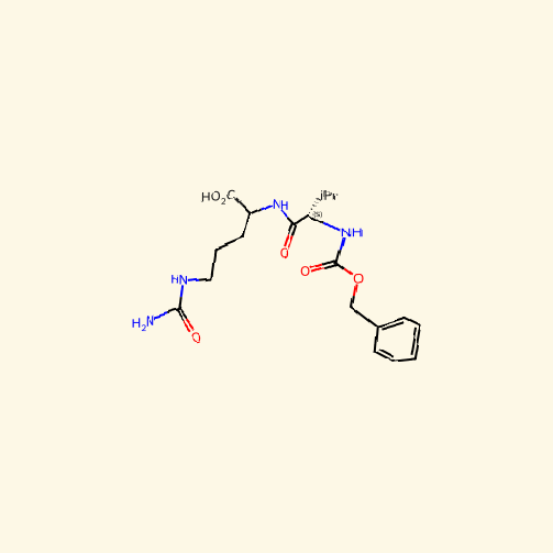 CC(C)[C@H](NC(=O)OCc1ccccc1)C(=O)NC(CCCNC(N)=O)C(=O)O